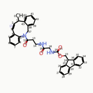 CC1/C=C\c2ccccc2N(C(=O)CCNC(=O)CNC(=O)OCC2c3ccccc3-c3ccccc32)Cc2ccccc21